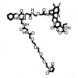 CC[C@@]1(O)C(=O)OCc2c1cc1n(c2=O)Cc2c-1nc1cc(F)c(C)c3c1c2[C@@H](NC(=O)COCNC(=O)CNC(=O)[C@H](Cc1ccccc1)NC(=O)CNC(=O)CNC(=O)COCCOCCOCCOCCN1C(=O)C=CC1=O)C3